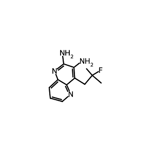 CC(C)(F)Cc1c(N)c(N)nc2cccnc12